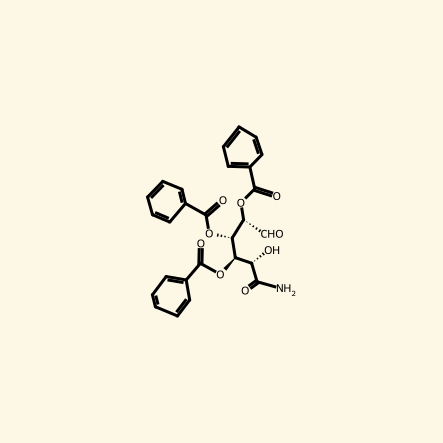 NC(=O)[C@@H](O)[C@@H](OC(=O)c1ccccc1)[C@H](OC(=O)c1ccccc1)[C@@H](C=O)OC(=O)c1ccccc1